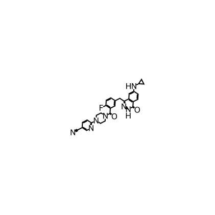 N#Cc1ccc(N2CCN(C(=O)c3cc(Cc4n[nH]c(=O)c5ccc(NC6CC6)cc45)ccc3F)CC2)nc1